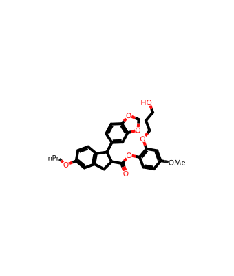 CCCOc1ccc2c(c1)CC(C(=O)Oc1ccc(OC)cc1OCCCO)C2c1ccc2c(c1)OCO2